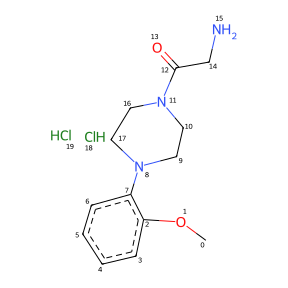 COc1ccccc1N1CCN(C(=O)CN)CC1.Cl.Cl